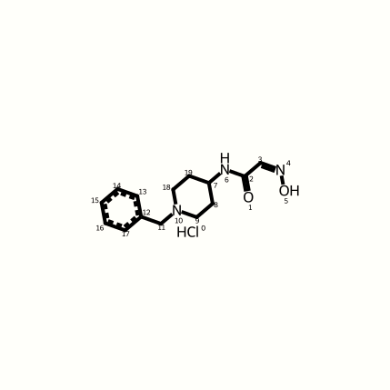 Cl.O=C(/C=N\O)NC1CCN(Cc2ccccc2)CC1